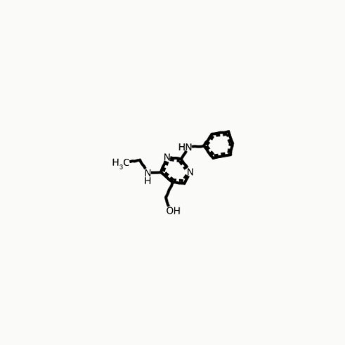 CCNc1nc(Nc2ccccc2)ncc1CO